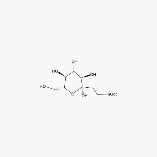 CCCCCCCCCC[C@@]1(O)O[C@H](CO)[C@@H](O)[C@H](O)[C@H]1O